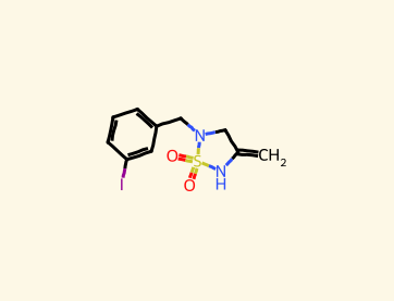 C=C1CN(Cc2cccc(I)c2)S(=O)(=O)N1